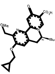 COCc1nc2c(cc1OCC1CC1)C[C@H](C(C)(C)C)n1cc(C(=O)O)c(=O)cc1-2